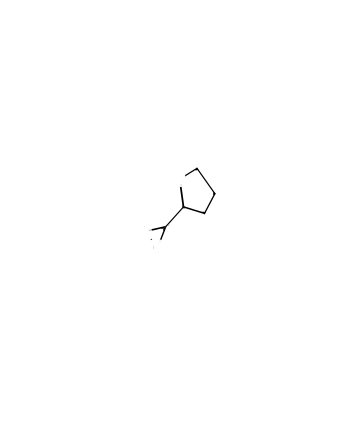 C1CSC([C]2OO2)C1